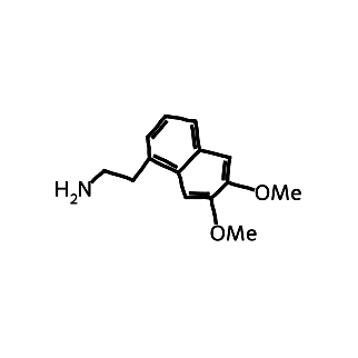 COc1cc2cccc(CCN)c2cc1OC